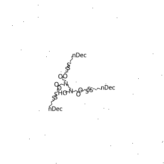 CCCCCCCCCCCCCCSSSCCOC(=O)CCN(CCO)CCCN(CCC(=O)OCCSSSCCCCCCCCCCCCCC)CCC(=O)OCCSSSCCCCCCCCCCCCCC